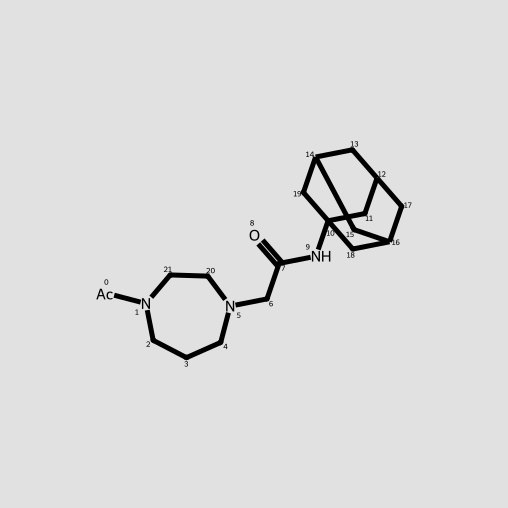 CC(=O)N1CCCN(CC(=O)NC23CC4CC(CC(C4)C2)C3)CC1